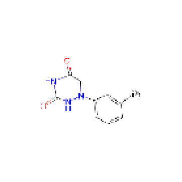 CC(C)c1cccc(N2CC(=O)NC(=O)N2)c1